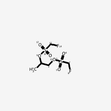 CC(COS(=O)(=O)CF)OS(=O)(=O)CF